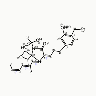 C\C=C/C=C(C)/C=N/C(=C/CCc1ccc(CC(C)C)c(OC)c1)C(=O)N(C(C)(O)O)C1(C)COC1